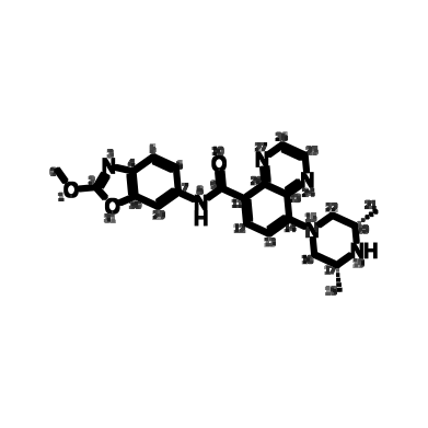 COc1nc2ccc(NC(=O)c3ccc(N4C[C@@H](C)N[C@@H](C)C4)c4nccnc34)cc2o1